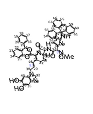 CO/N=C(\C(=O)NC1C(=O)N2C(C(=O)OC(c3ccccc3)c3ccccc3)=C(/C=C/Cn3cnc4cc(O)c(O)cc43)CS[C@H]12)c1csc(NC(c2ccccc2)(c2ccccc2)c2ccccc2)n1